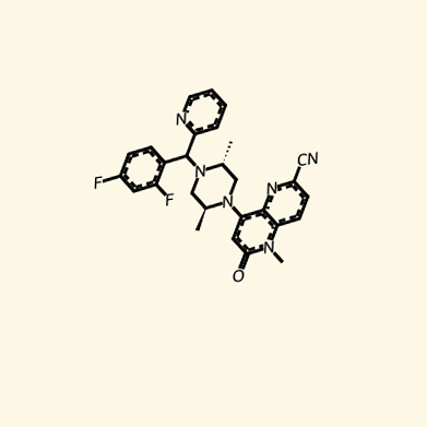 C[C@@H]1CN(c2cc(=O)n(C)c3ccc(C#N)nc23)[C@@H](C)CN1C(c1ccccn1)c1ccc(F)cc1F